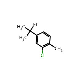 CCC(C)(C)c1ccc(C)c(Cl)c1